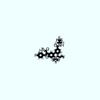 CNC(=O)c1c(-c2ccc(F)cc2)oc2cc(N(CCCF)S(C)(=O)=O)c(-c3cccc(C(=O)NC(C)(C)C(F)(F)F)c3)cc12